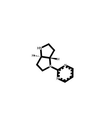 c1cnc(N2CC[C@H]3NCC[C@@H]32)nc1